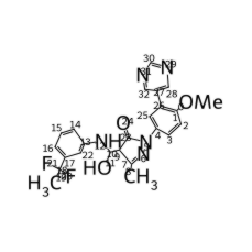 COc1ccc(N2N=C(C)C(C(O)Nc3cccc(C(C)(F)F)c3)C2=O)cc1-c1cncnc1